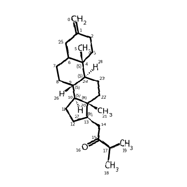 C=C1CC[C@@]2(C)C(CC[C@H]3[C@@H]4CC[C@H](CC(=O)C(C)C)[C@@]4(C)CC[C@@H]32)C1